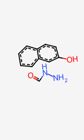 NNC=O.Oc1ccc2ccccc2c1